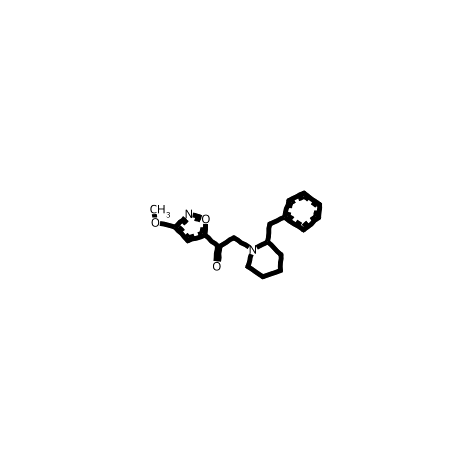 COc1cc(C(=O)CN2CCCCC2Cc2ccccc2)on1